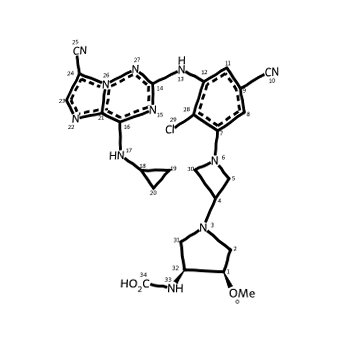 CO[C@@H]1CN(C2CN(c3cc(C#N)cc(Nc4nc(NC5CC5)c5ncc(C#N)n5n4)c3Cl)C2)C[C@@H]1NC(=O)O